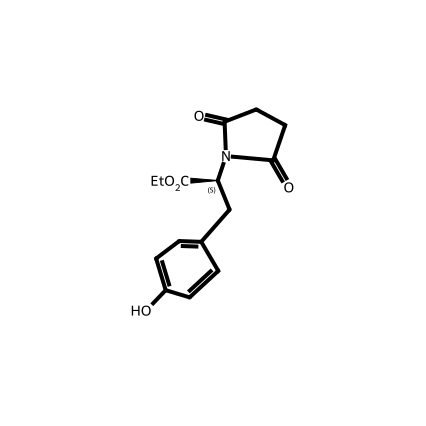 CCOC(=O)[C@H](Cc1ccc(O)cc1)N1C(=O)CCC1=O